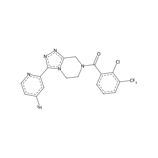 [2H]c1ccnc(-c2nnc3n2CCN(C(=O)c2cccc(C(F)(F)F)c2Cl)C3)c1